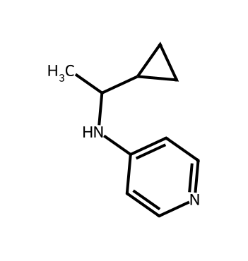 CC(Nc1ccncc1)C1CC1